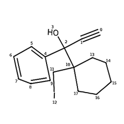 C#CC(O)(c1ccccc1)C1(CI)CCCCC1